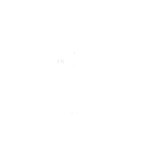 CCCCCCCCCCCCCCCC[C@H](C)NC(=O)OCc1ccccc1